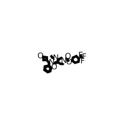 Cc1nc2c(c(=O)n1C(c1ccccc1)C1CC(=O)C1)CCN(C(=O)O[C@H]1CC[C@H](C(F)(F)F)CC1)C2